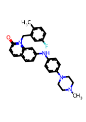 Cc1ccc(F)cc1Cn1c(=O)ccc2ccc(Nc3ccc(N4CCN(C)CC4)cc3)cc21